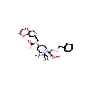 CC(C)(C)[N+]1(C(CO)COCc2ccccc2)CCC(N(Cc2cc3c(cn2)OCCO3)C(=O)[O-])CC1